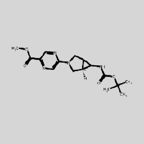 COC(=O)c1cnc(N2CC3C(NC(=O)OC(C)(C)C)[C@H]3C2)cn1